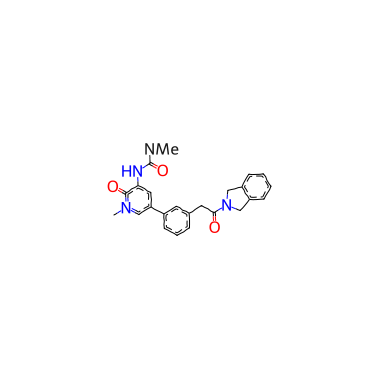 CNC(=O)Nc1cc(-c2cccc(CC(=O)N3Cc4ccccc4C3)c2)cn(C)c1=O